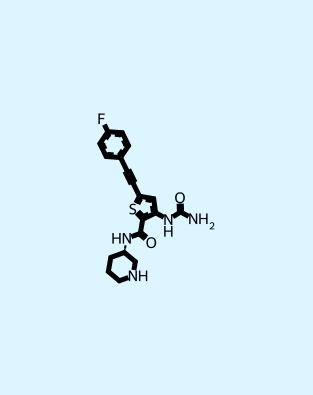 NC(=O)Nc1cc(C#Cc2ccc(F)cc2)sc1C(=O)N[C@H]1CCCNC1